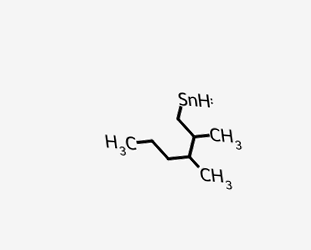 CCCC(C)C(C)[CH2][SnH]